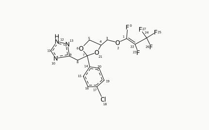 FC(OCC1COC(Cc2nc[nH]n2)(c2ccc(Cl)cc2)O1)=C(F)C(F)(F)F